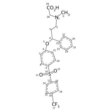 CN(CCC(Oc1ccc(S(=O)(=O)c2ccc(C(F)(F)F)cc2)cc1)c1ccccc1)CC(=O)O